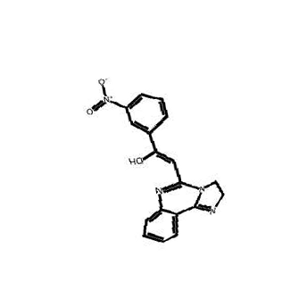 O=[N+]([O-])c1cccc(/C(O)=C/C2=Nc3ccccc3C3=NCCN23)c1